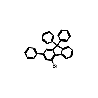 Brc1cc(-c2ccccc2)cc2c1-c1ccccc1C2(c1ccccc1)c1ccccc1